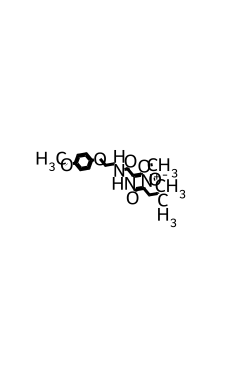 COc1ccc(OCCNC(=O)c2[nH]c(=O)c(CC(C)C)[n+]([O-])c2OC)cc1